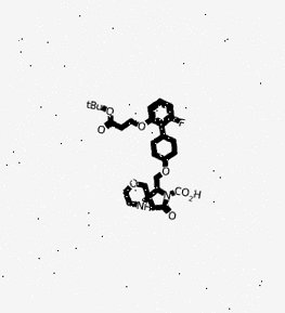 CC(C)(C)OC(=O)CCOc1cccc(F)c1C1CCC(OCC2N(C(=O)O)C(=O)CC23COCCN3)CC1